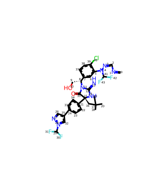 C=N/C=N\N(c1cc([C@@H](CO)N2C(=N)N[C@](CC(C)(C)C)(c3ccc(-c4cnn(C(F)F)c4)cc3)C2=O)ccc1Cl)C(F)F